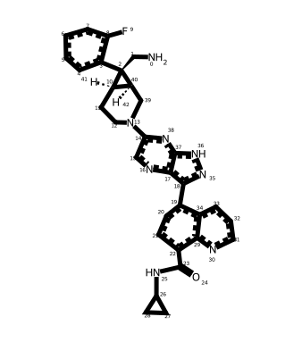 NC[C@]1(c2ccccc2F)[C@@H]2CCN(c3cnc4c(-c5ccc(C(=O)NC6CC6)c6ncccc56)n[nH]c4n3)C[C@@H]21